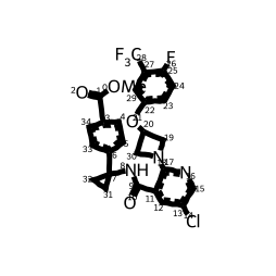 COC(=O)c1ccc(C2(NC(=O)c3cc(Cl)cnc3N3CC(Oc4ccc(F)c(C(F)(F)F)c4)C3)CC2)cc1